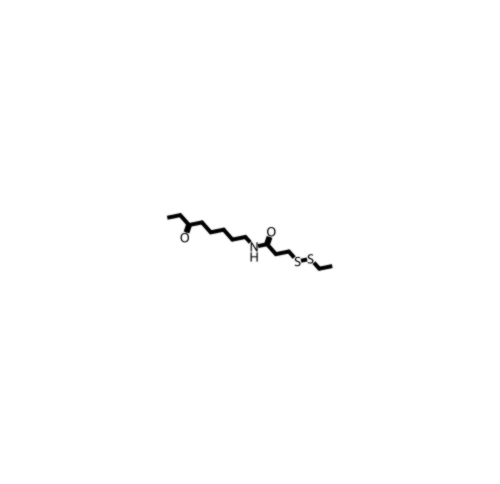 CCSSCCC(=O)NCCCCCC(=O)CC